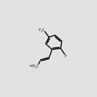 O=C(O)C=Cc1cc(C(F)(F)F)ccc1F